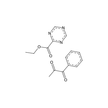 CC(=O)C(=O)c1ccccc1.CCOC(=O)c1ncncn1